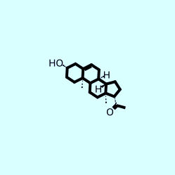 CC(=O)[C@H]1CC[C@H]2[C@@H]3CC=C4C[C@@H](O)CC[C@]4(C)C3CC[C@]12C